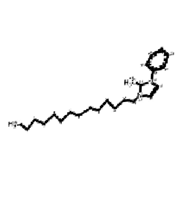 CCCCCCCCCCCCCCN1C=CN(c2ccccc2)C1C